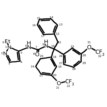 CCn1nccc1NC(=O)NC(Cc1ccccc1)(C1=CC(OC(F)(F)F)=CCC1)c1cccc(OC(F)(F)F)c1